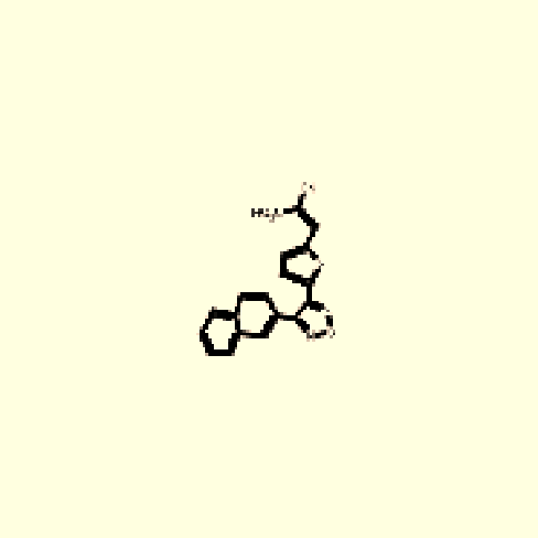 N#C/C(=C/c1ccc(-c2nonc2-c2ccc3ccccc3c2)s1)C(=O)O